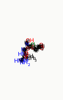 CCCC(C)(C)OC(=O)[C@H](CCCNC(=N)N)NC(=O)c1cncc(COc2cc(OCc3cccc(-c4ccc5c(c4)OCCO5)c3C)c(Cl)cc2CN2CC[C@H](O)C2)c1